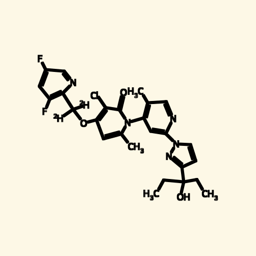 [2H]C([2H])(Oc1cc(C)n(-c2cc(-n3ccc(C(O)(CC)CC)n3)ncc2C)c(=O)c1Cl)c1ncc(F)cc1F